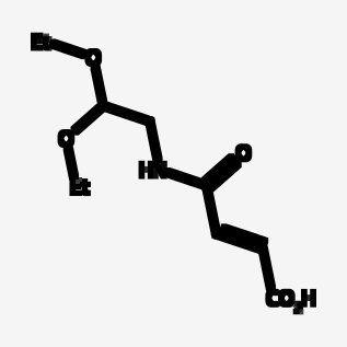 CCOC(CNC(=O)C=CC(=O)O)OCC